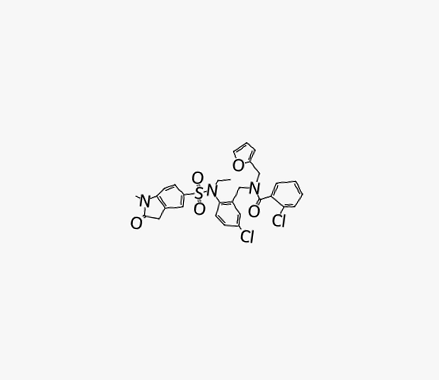 CCN(c1ccc(Cl)cc1CN(Cc1ccco1)C(=O)c1ccccc1Cl)S(=O)(=O)c1ccc2c(c1)CC(=O)N2C